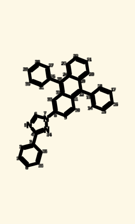 c1ccc(-c2ncn(-c3ccc4c(-c5ccccc5)c5ccccc5c(-c5ccccc5)c4c3)n2)cc1